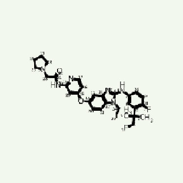 CC(C)(CF)c1cc(Nc2nc3cc(Oc4ccnc(NC(=O)CN5CCCC5)c4)ccc3n2CI)ccc1F